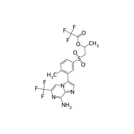 Cc1ccc(S(=O)(=O)CC(C)OC(=O)C(F)(F)F)cc1-c1cnc2c(N)nc(C(F)(F)F)cn12